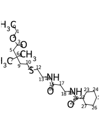 CCOC(=O)CC(C)(C)CCSCCNC(=O)CCNC(=O)C1CCCCC1